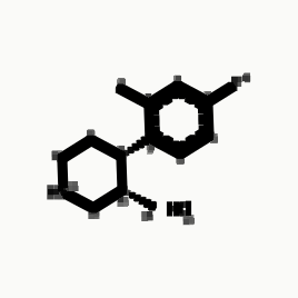 Cc1cc(F)ccc1[C@H]1CCNC[C@H]1C.Cl